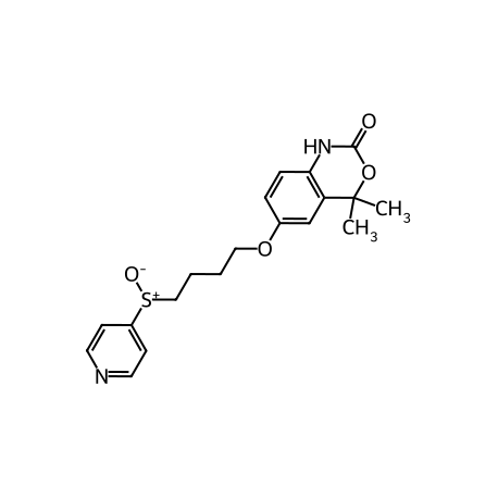 CC1(C)OC(=O)Nc2ccc(OCCCC[S+]([O-])c3ccncc3)cc21